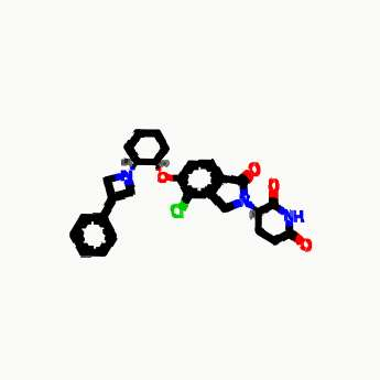 O=C1CC[C@@H](N2Cc3c(ccc(O[C@H]4CCCC[C@H]4N4CC(c5ccccc5)C4)c3Cl)C2=O)C(=O)N1